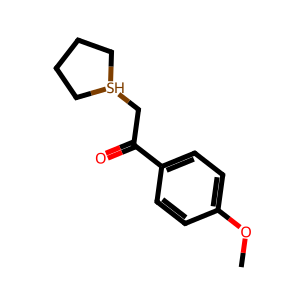 COc1ccc(C(=O)C[SH]2CCCC2)cc1